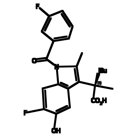 CCC(C)[C@@](C)(C(=O)O)c1c(C)n(C(=O)c2cccc(F)c2)c2cc(F)c(O)cc12